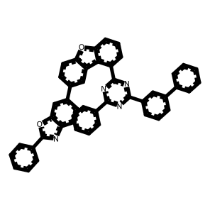 c1ccc(-c2cccc(-c3nc(-c4ccccc4)nc(-c4cccc5oc6ccc(-c7ccc8nc(-c9ccccc9)oc8c7)cc6c45)n3)c2)cc1